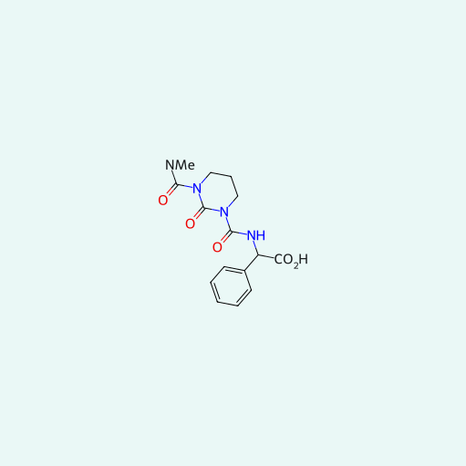 CNC(=O)N1CCCN(C(=O)NC(C(=O)O)c2ccccc2)C1=O